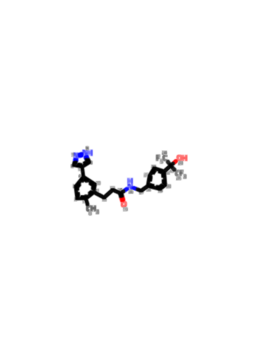 Cc1ccc(-c2cn[nH]c2)cc1CCC(=O)NCc1ccc(C(O)(C(F)(F)F)C(F)(F)F)cc1